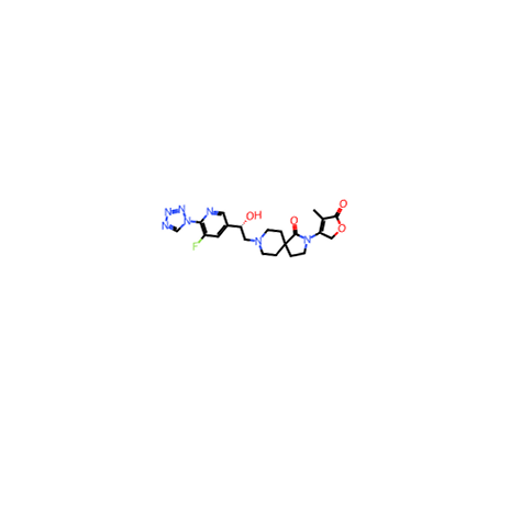 CC1=C(N2CCC3(CCN(C[C@@H](O)c4cnc(-n5cnnn5)c(F)c4)CC3)C2=O)COC1=O